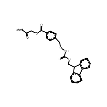 CNC(=O)COC(=O)c1ccc(CONC(=O)OCC2c3ccccc3-c3ccccc32)cc1